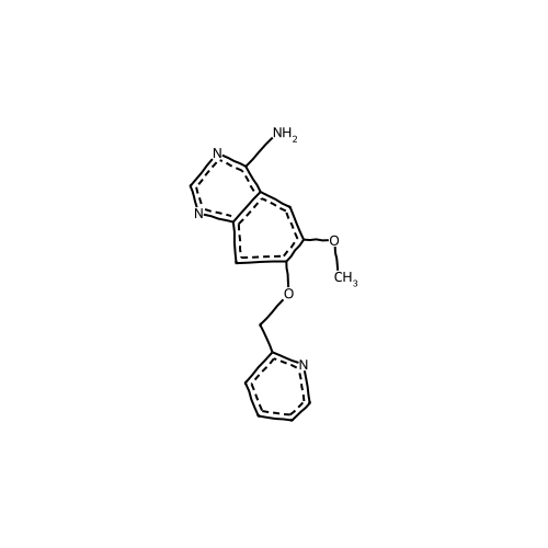 COc1cc2c(N)ncnc2cc1OCc1ccccn1